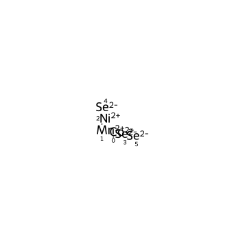 [Co+2].[Mn+2].[Ni+2].[Se-2].[Se-2].[Se-2]